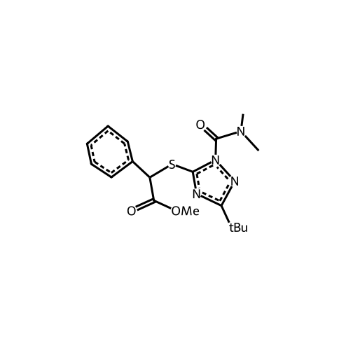 COC(=O)C(Sc1nc(C(C)(C)C)nn1C(=O)N(C)C)c1ccccc1